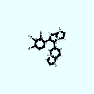 Fc1ccc(-c2nc3occn3c2-c2ccc3nccn3c2)c(F)c1F